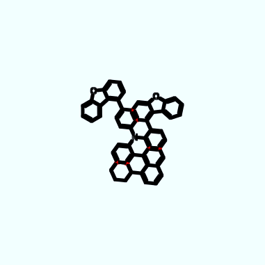 c1ccc(N(c2ccc(-c3cccc4oc5ccccc5c34)cc2)c2ccccc2-c2cccc3oc4ccccc4c23)c(-c2cccc3cccc(C4CCCCC4)c23)c1